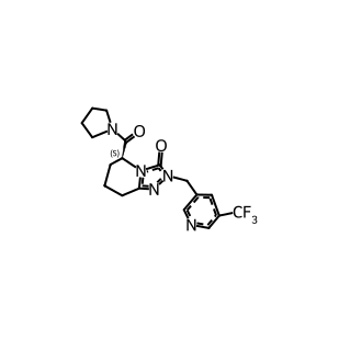 O=C([C@@H]1CCCc2nn(Cc3cncc(C(F)(F)F)c3)c(=O)n21)N1CCCC1